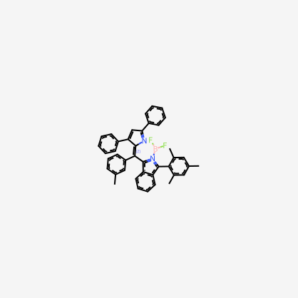 Cc1cccc(/C(=C2/N=C(c3ccccc3)C=C2c2ccccc2)c2c3ccccc3c(-c3c(C)cc(C)cc3C)n2B(F)F)c1